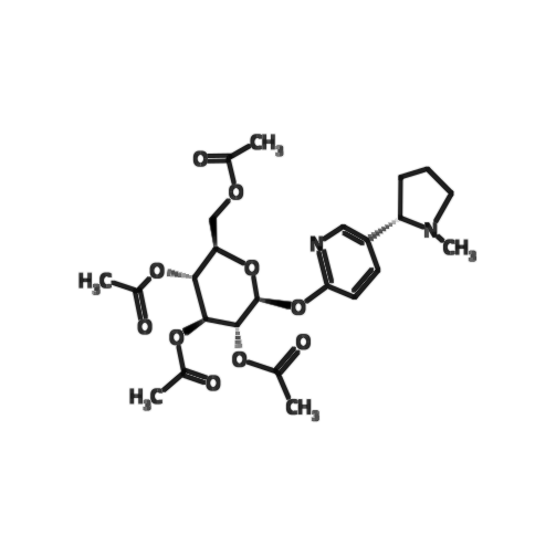 CC(=O)OC[C@H]1O[C@@H](Oc2ccc([C@@H]3CCCN3C)cn2)[C@H](OC(C)=O)[C@@H](OC(C)=O)[C@@H]1OC(C)=O